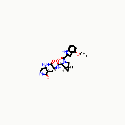 COc1cccc2[nH]c(C(=O)N3C[C@@H]4C[C@@H]4[C@H]3C(=O)N[C@@H](C[C@@H]3CCCNC3=O)C(N)=O)cc12